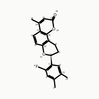 Cc1cc(F)c([C@@H]2CCc3c(ccc4c(C)cc(=O)oc34)O2)cc1C